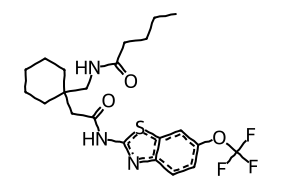 CCCCC(=O)NCC1(CC(=O)Nc2nc3ccc(OC(F)(F)F)cc3s2)CCCCC1